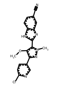 COc1c(-c2ccc(Cl)nc2)nn(C)c1-c1nc2cc(C#N)ccc2[nH]1